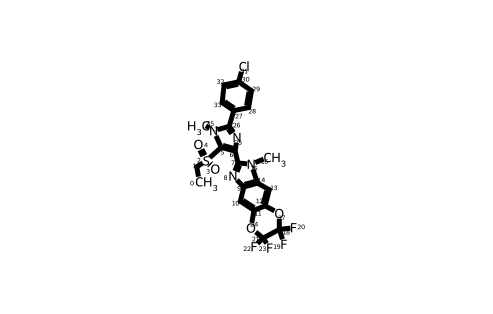 CCS(=O)(=O)c1c(-c2nc3cc4c(cc3n2C)OC(F)(F)C(F)(F)O4)nc(-c2ccc(Cl)cc2)n1C